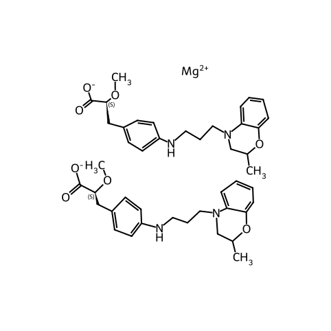 CO[C@@H](Cc1ccc(NCCCN2CC(C)Oc3ccccc32)cc1)C(=O)[O-].CO[C@@H](Cc1ccc(NCCCN2CC(C)Oc3ccccc32)cc1)C(=O)[O-].[Mg+2]